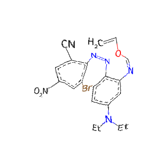 C=CO/C=N\c1cc(N(CC)CC)ccc1N=Nc1c(Br)cc([N+](=O)[O-])cc1C#N